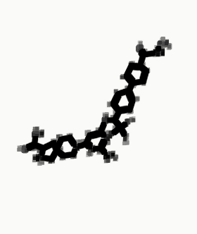 CNC(=O)c1ccc(-c2ccc(C(Oc3cc(N4CCC5(CC4)CNC(C(=O)O)C5)nc(N)n3)C(F)(F)F)cc2)cc1